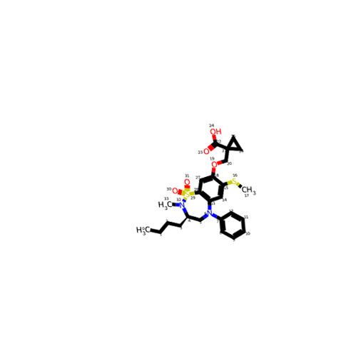 CCCC[C@@H]1CN(c2ccccc2)c2cc(SC)c(OCC3(C(=O)O)CC3)cc2S(=O)(=O)N1C